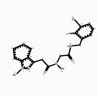 CC(=O)n1nc(CC(=O)N(CC(=O)NCc2cccc(Cl)c2F)C(C)C)c2ccccc21